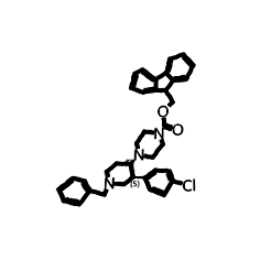 O=C(OCC1c2ccccc2-c2ccccc21)N1CCN([C@@H]2CCN(Cc3ccccc3)C[C@@H]2c2ccc(Cl)cc2)CC1